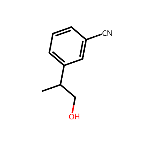 CC(CO)c1cccc(C#N)c1